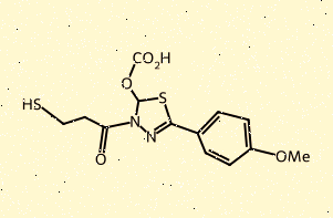 COc1ccc(C2=NN(C(=O)CCS)C(OC(=O)O)S2)cc1